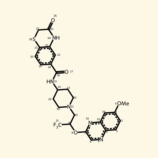 COc1ccc2ncc(OC(CN3CCC(NC(=O)c4ccc5c(c4)NC(=O)CS5)CC3)C(F)(F)F)nc2c1